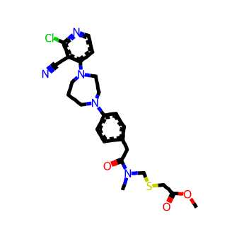 COC(=O)CSCN(C)C(=O)Cc1ccc(N2CCCN(c3ccnc(Cl)c3C#N)CC2)cc1